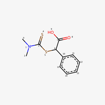 CN(C)C(=S)SC(C(=O)O)c1ccccc1